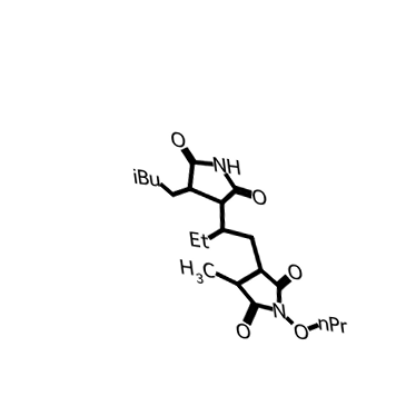 CCCON1C(=O)C(C)C(CC(CC)C2C(=O)NC(=O)C2CC(C)CC)C1=O